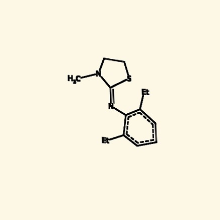 CCc1cccc(CC)c1N=C1SCCN1C